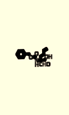 C=CCCC(C=O)(CO)NC(=O)OCc1ccccc1